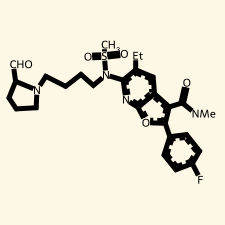 CCc1cc2c(C(=O)NC)c(-c3ccc(F)cc3)oc2nc1N(CCCCN1CCCC1C=O)S(C)(=O)=O